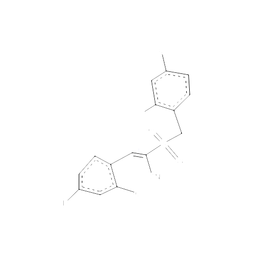 N#C/C(=C\c1ccc(F)cc1Cl)S(=O)(=O)Cc1ccc(Cl)cc1Cl